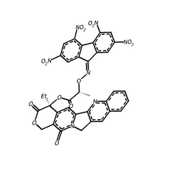 CC[C@@]1(OC(=O)[C@@H](C)ON=C2c3cc([N+](=O)[O-])cc([N+](=O)[O-])c3-c3c2cc([N+](=O)[O-])cc3[N+](=O)[O-])C(=O)OCc2c1cc1n(c2=O)Cc2cc3ccccc3nc2-1